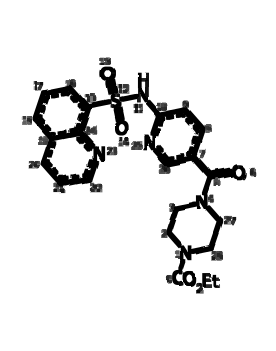 CCOC(=O)N1CCN(C(=O)c2ccc(NS(=O)(=O)c3cccc4cccnc34)nc2)CC1